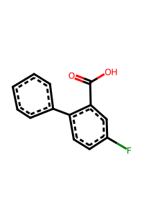 O=C(O)c1cc(F)ccc1-c1ccccc1